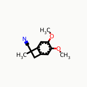 COc1cc2c(cc1OC)C(C)(C#N)C2